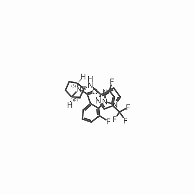 O=C(c1cccc(F)c1-n1nccn1)N1[C@@H]2CC[C@H]1[C@H](Nc1ncc(C(F)(F)F)cc1F)C2